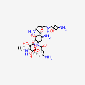 CN[C@@H]1[C@@H](O)[C@@H](O[C@H]2[C@H](NC(=O)[C@@H](O)CCN)C[C@H](N)C([C@H]3OC(CNCC4(O)CC(N)C4)=CC[C@H]3N)[C@@H]2O)OC[C@]1(C)O